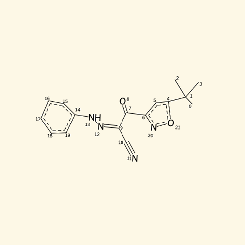 CC(C)(C)c1cc(C(=O)C(C#N)=NNc2ccccc2)no1